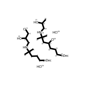 CCCCCCCCCCCCCC(C)(C)NCC(O)CCl.CCCCCCCCCCCCCC(Cl)CC(C)(C)NCC(C)O.Cl.Cl